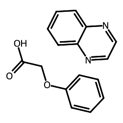 O=C(O)COc1ccccc1.c1ccc2nccnc2c1